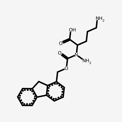 NCCCC(C(=O)O)N(N)C(=O)OCc1cccc2c1Cc1ccccc1-2